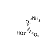 N.[O]=[V](=[O])[OH]